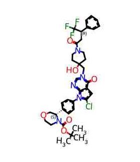 CC(C)(C)OC(=O)N1CCOC[C@@H]1c1ccc(-n2c(Cl)cc3c(=O)n(CC4(O)CCN(C(=O)C[C@H](c5ccccc5)C(F)(F)F)CC4)cnc32)cc1